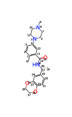 Cc1ccc(N2CCN(C)CC2)cc1C(=O)N[C@H](C)c1ccc2c(c1)OCCO2